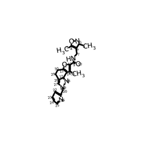 Cc1noc(C)c1CNC(=O)c1oc2c(c1C)-c1nn(Cc3ccccn3)cc1CC2